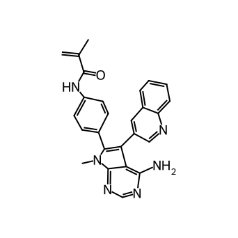 C=C(C)C(=O)Nc1ccc(-c2c(-c3cnc4ccccc4c3)c3c(N)ncnc3n2C)cc1